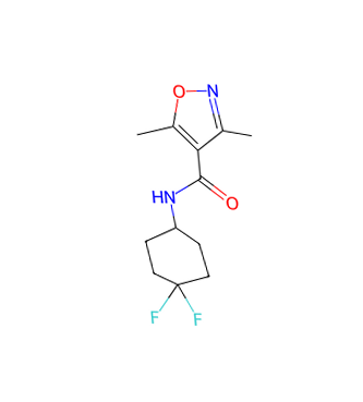 Cc1noc(C)c1C(=O)NC1CCC(F)(F)CC1